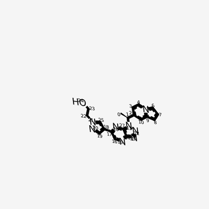 C[C@@H](c1ccn2cccc2c1)n1nnc2ncc(-c3cnn(CCO)c3)nc21